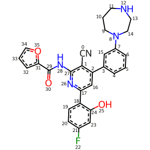 N#Cc1c(-c2cccc(N3CCCNCC3)c2)cc(-c2ccc(F)cc2O)nc1NC(=O)c1ccco1